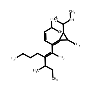 CCCC/C(=C(/C)C(/C=C\C(C)C)=C1C(C)C1C(C)NC)C(C)CC